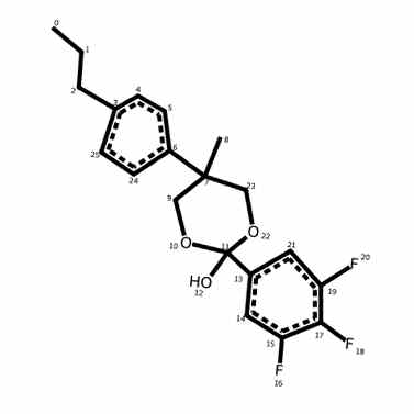 CCCc1ccc(C2(C)COC(O)(c3cc(F)c(F)c(F)c3)OC2)cc1